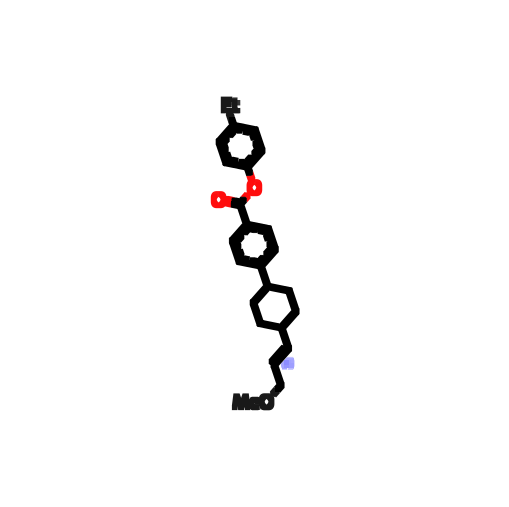 CCc1ccc(OC(=O)c2ccc(C3CCC(/C=C/COC)CC3)cc2)cc1